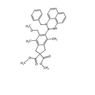 COCc1c(C)c2c(c(C)c1B1Nc3cccc4cccc(c34)N1Cc1ccccc1)CC(C(=O)OC)(C(=O)OC)C2